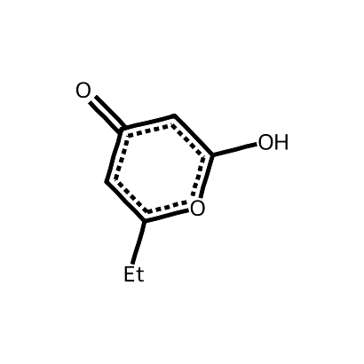 CCc1cc(=O)cc(O)o1